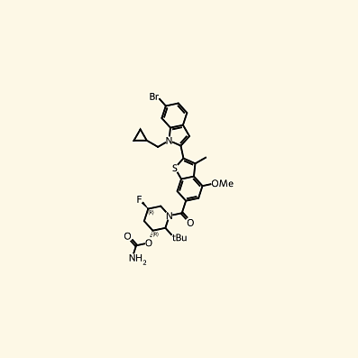 COc1cc(C(=O)N2C[C@H](F)C[C@@H](OC(N)=O)C2C(C)(C)C)cc2sc(-c3cc4ccc(Br)cc4n3CC3CC3)c(C)c12